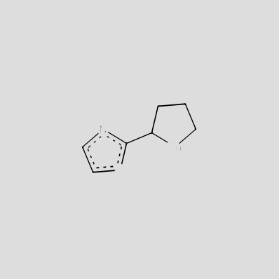 c1coc([CH]2CC[CH2][Zn]2)n1